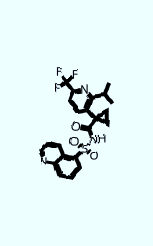 CC(C)c1nc(C(F)(F)F)ccc1C1(C(=O)NS(=O)(=O)c2cccc3ncccc23)CC1